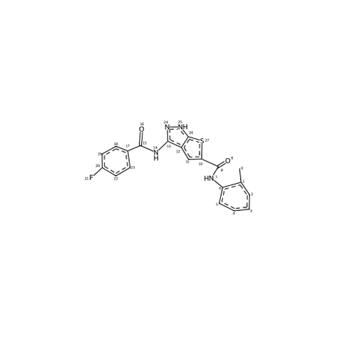 Cc1ccccc1NC(=O)c1cc2c(NC(=O)c3ccc(F)cc3)n[nH]c2s1